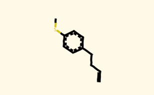 C=CC[CH]c1ccc(SC)cc1